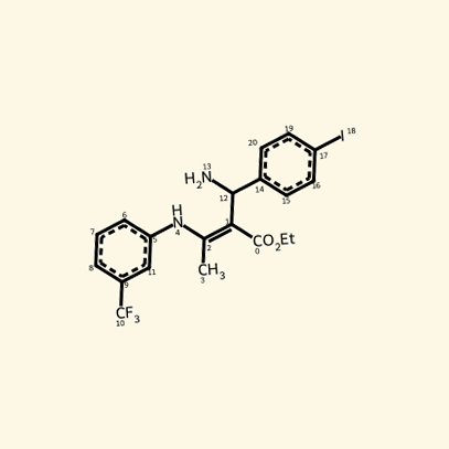 CCOC(=O)/C(=C(\C)Nc1cccc(C(F)(F)F)c1)C(N)c1ccc(I)cc1